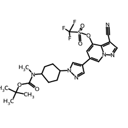 CN(C(=O)OC(C)(C)C)C1CCC(n2cc(-c3cc(OS(=O)(=O)C(F)(F)F)c4c(C#N)cnn4c3)cn2)CC1